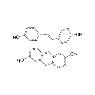 Oc1ccc(C=Cc2ccc(O)cc2)cc1.Oc1ccc2cc3cc(O)ccc3cc2c1